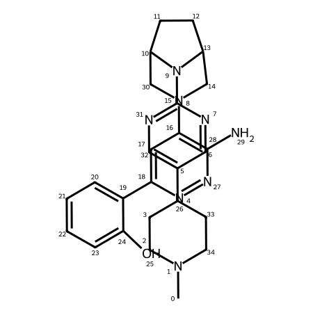 CN1CCC(c2cnc(N3C4CCC3CN(c3cc(-c5ccccc5O)nnc3N)C4)nc2)CC1